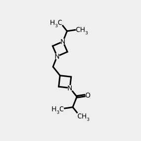 CC(C)C(=O)N1CC(CN2CN(C(C)C)C2)C1